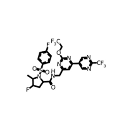 CC1C(F)CC(C(=O)NCc2cc(-c3cnc(C(F)(F)F)nc3)nc(OCC(F)(F)F)n2)N1S(=O)(=O)c1ccc(F)cc1